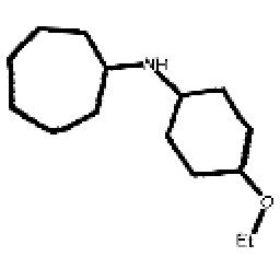 CCOC1CCC(NC2CCCCCC2)CC1